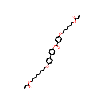 C=CC(=O)OCCCCCCCCOc1ccc(-c2ccc(OC(=O)c3ccc(OCCCCCCOC(=O)C=C)cc3)cc2)cc1